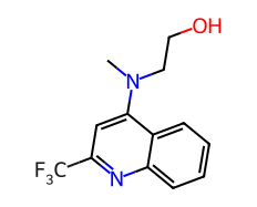 CN(CCO)c1cc(C(F)(F)F)nc2ccccc12